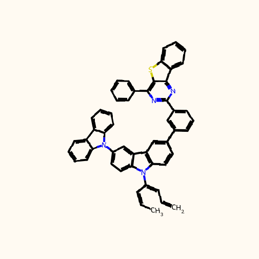 C=C/C=C(\C=C/C)n1c2ccc(-c3cccc(-c4nc(-c5ccccc5)c5sc6ccccc6c5n4)c3)cc2c2cc(-n3c4ccccc4c4ccccc43)ccc21